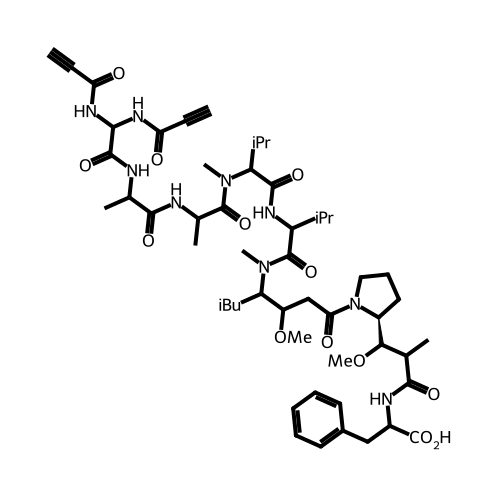 C#CC(=O)NC(NC(=O)C#C)C(=O)NC(C)C(=O)NC(C)C(=O)N(C)C(C(=O)NC(C(=O)N(C)C(C(C)CC)C(CC(=O)N1CCC[C@H]1C(OC)C(C)C(=O)NC(Cc1ccccc1)C(=O)O)OC)C(C)C)C(C)C